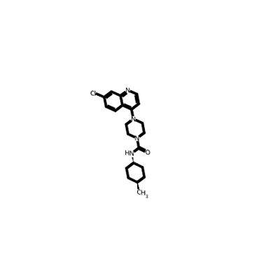 C[C@H]1CC[C@H](NC(=O)N2CCN(c3ccnc4cc(Cl)ccc34)CC2)CC1